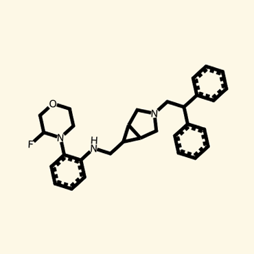 FC1COCCN1c1ccccc1NCC1C2CN(CC(c3ccccc3)c3ccccc3)CC12